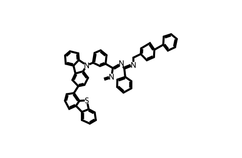 C=N/C(=N\C(=N/Cc1ccc(-c2ccccc2)cc1)c1ccccc1)c1cccc(-n2c3ccccc3c3cc(-c4cccc5c4sc4ccccc45)ccc32)c1